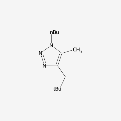 CCCCn1nnc(CC(C)(C)C)c1C